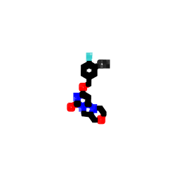 N#Cc1cc(COc2cc3n(c(=O)n2)CC2COCCN32)ccc1F